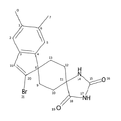 Cc1cc2c(cc1C)C1(CCC3(CC1)NC(=O)NC3=O)C(Br)=C2